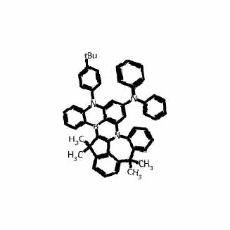 CC(C)(C)c1ccc(N2c3ccccc3B3C4=C5c6c(cccc6C(C)(C)c6ccccc6N5c5cc(N(c6ccccc6)c6ccccc6)cc2c53)C4(C)C)cc1